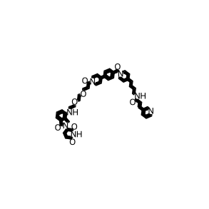 O=C(/C=C/c1cccnc1)NCCCCC1CCN(C(=O)c2ccc(C3CCN(C(=O)CCOCCOCCNc4cccc5c4CN(C4CCC(=O)NC4=O)C5=O)CC3)cc2)CC1